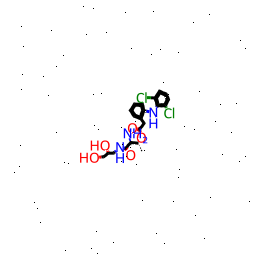 C[C@@H](OC(=O)Cc1ccccc1Nc1c(Cl)cccc1Cl)[C@H](N)C(=O)NCC(O)CO